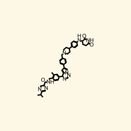 Cc1cc(-c2ncnn3cc(-c4ccc(CN5CCC(c6ccc(NC7CCC(=O)NC7=O)cc6)CC5)cc4)cc23)ccc1CNC(=O)c1cnc(C(C)C)cn1